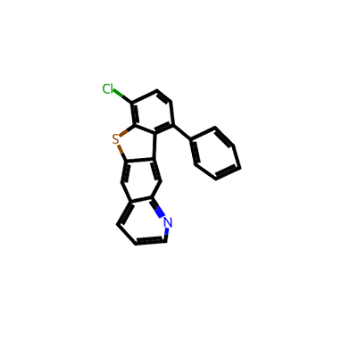 Clc1ccc(-c2ccccc2)c2c1sc1cc3cccnc3cc12